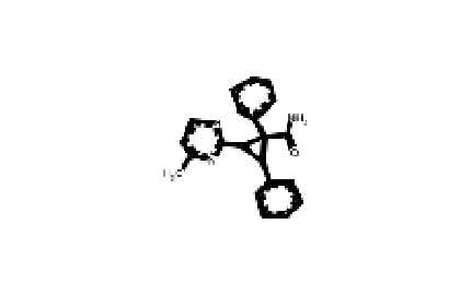 Cc1ccnc(C2C(c3ccccc3)C2(C(N)=O)c2ccccc2)n1